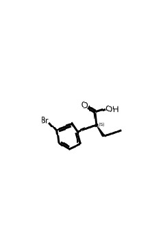 CC[C@H](C(=O)O)c1cccc(Br)c1